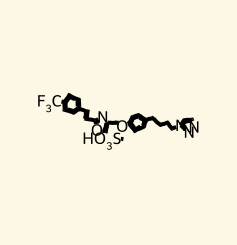 CS(=O)(=O)O.FC(F)(F)c1ccc(C=Cc2nc(COc3ccc(CCCCn4ccnn4)cc3)co2)cc1